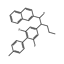 CCCC(c1cc(F)c(-c2ccc(C)cc2)c(F)c1)C(F)c1ccc2ccccc2c1